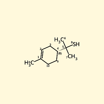 CC1=CC[C@H](C(C)(C)S)CC1